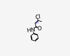 C/C(Cl)=C\C(=O)Nc1ccccc1